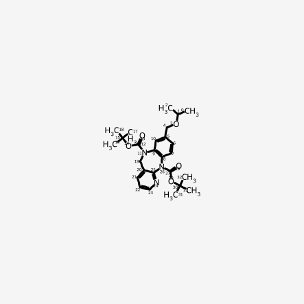 CC(C)OCc1ccc2c(c1)N(C(=O)OC(C)(C)C)Cc1cccnc1N2C(=O)OC(C)(C)C